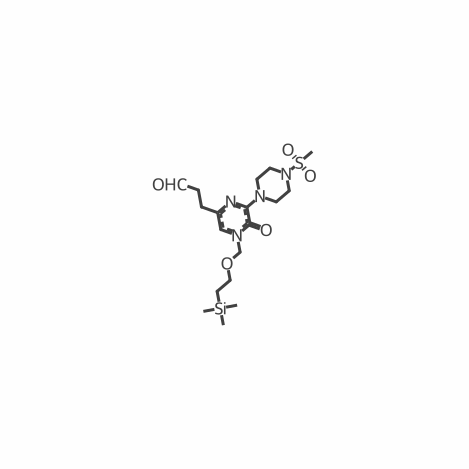 C[Si](C)(C)CCOCn1cc(CCC=O)nc(N2CCN(S(C)(=O)=O)CC2)c1=O